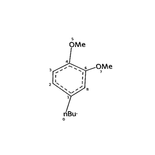 CCC[CH]c1ccc(OC)c(OC)c1